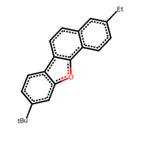 CCc1ccc2c(ccc3c4ccc(C(C)(C)C)cc4oc23)c1